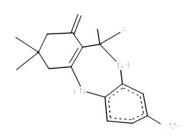 COc1ccc2c(c1)NC(C)(C(C)=O)C1=C(CC(C)(C)CC1=O)N2